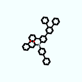 c1ccc(-c2ccc(N(c3ccc4ccccc4c3)c3ccc(-c4ccc(-c5ccccc5)c(-c5ccccc5)c4)cc3-c3ccccc3)cc2)cc1